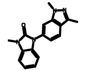 Cc1nn(C)c2cc(-n3c(=O)n(C)c4ccccc43)ccc12